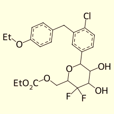 CCOC(=O)OCC1OC(c2ccc(Cl)c(Cc3ccc(OCC)cc3)c2)C(O)C(O)C1(F)F